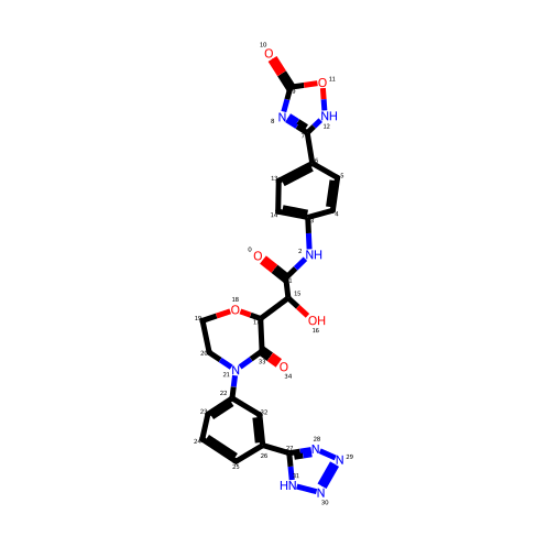 O=C(Nc1ccc(-c2nc(=O)o[nH]2)cc1)C(O)C1OCCN(c2cccc(-c3nnn[nH]3)c2)C1=O